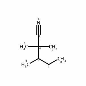 CCC(C)C(C)(C)C#N